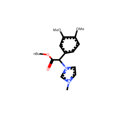 CCCCOC(=O)C(c1ccc(OC)c(OC)c1)n1cc[n+](C)c1